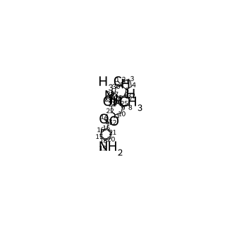 C[C@@]12CCC[C@H]1[C@@H]1CC=C3C[C@@H](OC(=O)c4ccc(N)cc4)CC[C@]3(C)[C@H]1/C(=N\O)C2